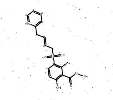 CCCCOC(=O)c1c(O)ccc(S(=O)(=O)CC=CCc2ccccn2)c1C